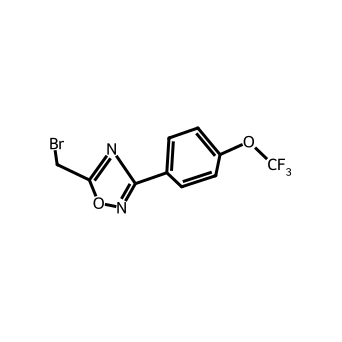 FC(F)(F)Oc1ccc(-c2noc(CBr)n2)cc1